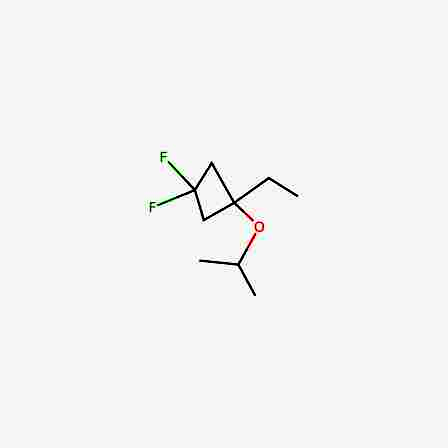 CCC1(OC(C)C)CC(F)(F)C1